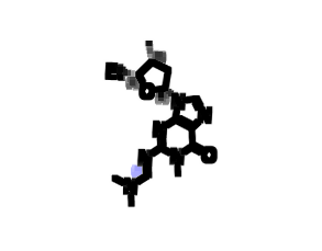 CC[C@H]1O[C@@H](n2cnc3c(=O)n(C)c(/N=C/N(C)C)nc32)C[C@H]1C